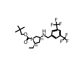 CC[C@@H]1C[C@H](NCc2cc(C(F)(F)F)cc(C(F)(F)F)c2)CN1C(=O)OCC(C)(C)C